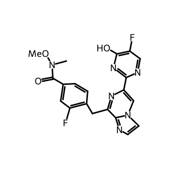 CON(C)C(=O)c1ccc(Cc2nc(-c3ncc(F)c(O)n3)cn3ccnc23)c(F)c1